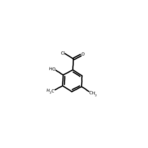 Cc1cc(C)c(O)c(C(=O)Cl)c1